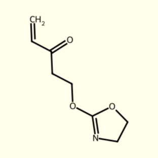 C=CC(=O)CCOC1=NCCO1